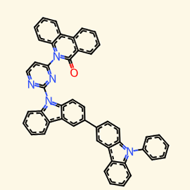 O=c1c2ccccc2c2ccccc2n1-c1ccnc(-n2c3ccccc3c3cc(-c4ccc5c(c4)c4ccccc4n5-c4ccccc4)ccc32)n1